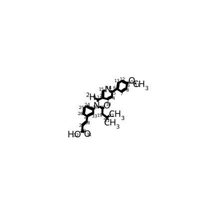 [2H]C(c1ccc(-c2ccc(OC)cc2)nc1)N(C(=O)CC(C)C)c1cccc(C=CC(=O)O)c1